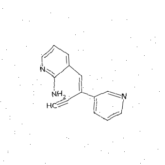 C#C/C(=C\c1cccnc1N)c1cccnc1